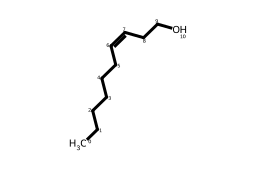 CCCCCC/C=C\CCO